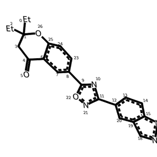 CCC1(CC)CC(=O)c2cc(-c3nc(-c4ccc5[nH]ncc5c4)no3)ccc2O1